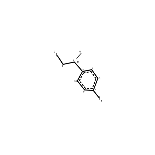 C[C@@H](CI)c1ccc(I)cc1